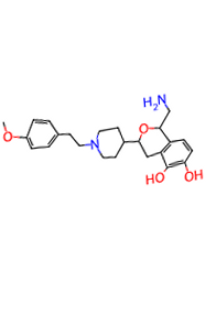 COc1ccc(CCN2CCC(C3Cc4c(ccc(O)c4O)C(CN)O3)CC2)cc1